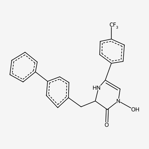 O=C1C(Cc2ccc(-c3ccccc3)cc2)NC(c2ccc(C(F)(F)F)cc2)=CN1O